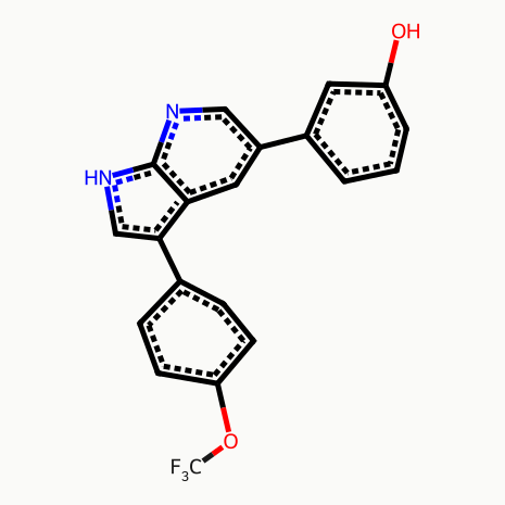 Oc1cccc(-c2cnc3[nH]cc(-c4ccc(OC(F)(F)F)cc4)c3c2)c1